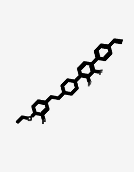 C=Cc1ccc(-c2ccc(C3CCC(CCC4=CCC(OCC)C(F)=C4)CC3)c(F)c2F)cc1